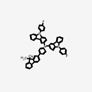 CC1(C)c2ccccc2-c2ccc(-c3ccc(N(c4ccc5c(c4)c4ccccc4n5-c4ccc(F)cc4)c4ccc5c(c4)c4ccccc4n5-c4ccc(F)cc4)cc3)cc21